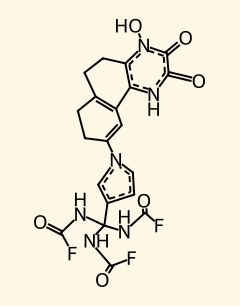 O=C(F)NC(NC(=O)F)(NC(=O)F)c1ccn(C2=CC3=C(CC2)CCc2c3[nH]c(=O)c(=O)n2O)c1